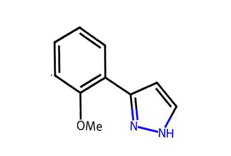 COc1[c]cccc1-c1cc[nH]n1